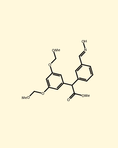 COCOc1cc(OCOC)cc(C(C(=O)OC)c2cccc(C=NO)c2)c1